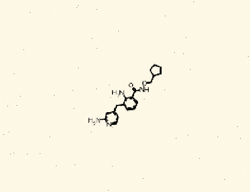 Nc1cc(Cc2cccc(C(=O)NOCC3CCCC3)c2N)ccn1